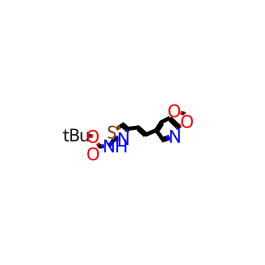 CC(C)(C)OC(=O)Nc1nc(C=Cc2cnc3c(c2)OCO3)cs1